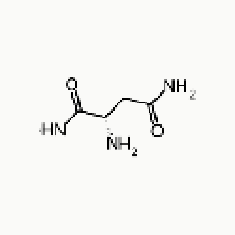 [NH]C(=O)[C@@H](N)CC(N)=O